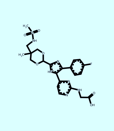 CC1(CNS(C)(=O)=O)COC(c2nc(-c3ccc(F)cc3)c(-c3ccnc(NCC(=O)O)n3)[nH]2)OC1